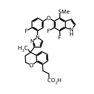 CSc1c(Oc2ccc(F)c(-n3ccc(C4(C)CCOc5c(CCC(=O)O)cccc54)n3)c2)c(F)c(F)c2[nH]ccc12